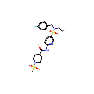 CC(C)CN(Cc1ccc(F)cc1)S(=O)(=O)c1ccc(NC(=O)C2CCN(S(C)(=O)=O)CC2)nc1